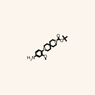 COc1cc(N)ccc1N1CCC2(CCN(C(=O)OC(C)(C)C)CC2)CC1